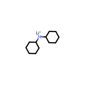 C1CCC([N-]C2CCCCC2)CC1.[Li+]